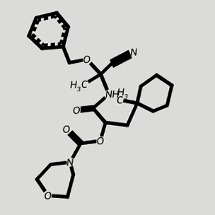 CC1(CC(OC(=O)N2CCOCC2)C(=O)NC(C)(C#N)OCc2ccccc2)CCCCC1